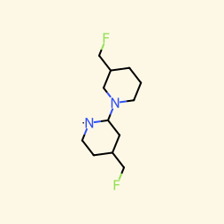 FCC1CC[N]C(N2CCCC(CF)C2)C1